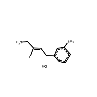 CSc1cccc(CC=C(F)CN)c1.Cl